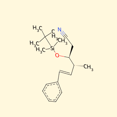 C[C@H](/C=C/c1ccccc1)[C@H](CC#N)O[Si](C)(C)C(C)(C)C